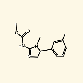 COC(=O)NC1=NCC(c2cccc(C)c2)N1C